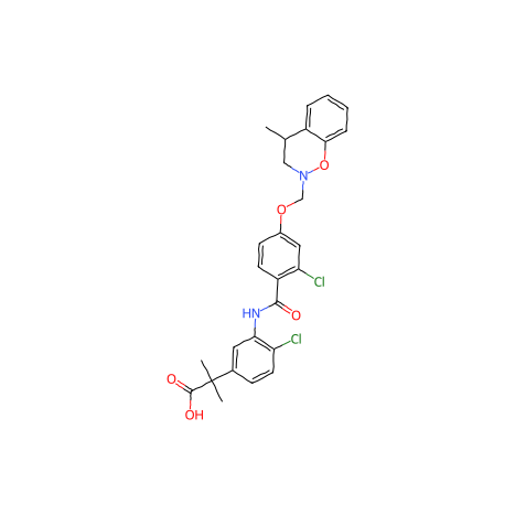 CC1CN(COc2ccc(C(=O)Nc3cc(C(C)(C)C(=O)O)ccc3Cl)c(Cl)c2)Oc2ccccc21